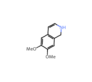 COc1cc2c(cc1OC)CNC=C2